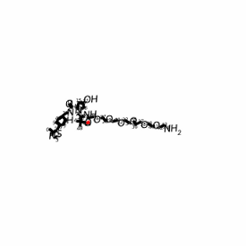 Cc1ncsc1-c1ccc(CNC(=O)[C@@H]2C[C@@H](O)CN2C[C@@H](NC(=O)COCCOCCOCCOCCOCCOCCN)C(C)(C)C)cc1